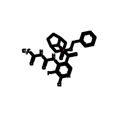 O=C(NC(=O)C(Cl)(Cl)Cl)Nc1c(C(=O)C2CC3CCC(C2)N3C(=O)OCc2ccccc2)cnc(Cl)c1F